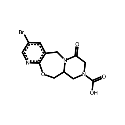 O=C(O)N1CC(=O)N2Cc3cc(Br)cnc3OCC2C1